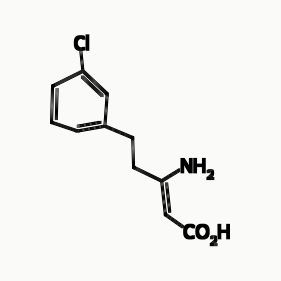 NC(=CC(=O)O)CCc1cccc(Cl)c1